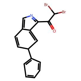 O=C(C1=NC=C2C=CC(c3ccccc3)C=C21)C(Br)Br